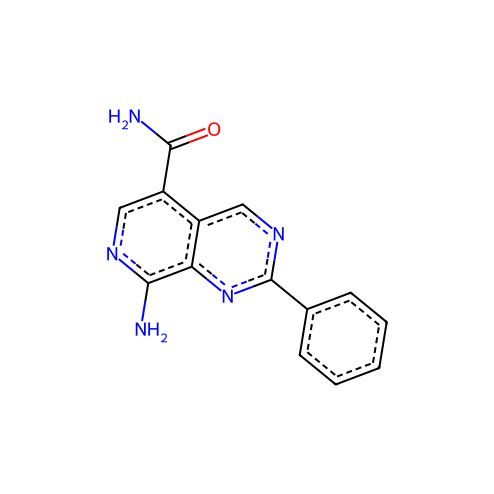 NC(=O)c1cnc(N)c2nc(-c3ccccc3)ncc12